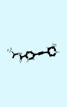 C[C@H](NC(=O)c1ccc(C#Cc2ccnc(Cl)c2)cn1)C(F)(F)F